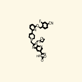 N#Cc1ccc(COc2cccc(C3=CCN(Cc4nc5cc(-c6noc(=O)[nH]6)cnc5n4C[C@@H]4CCO4)CC3)n2)c(F)c1